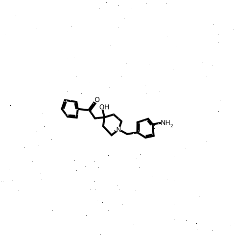 Nc1ccc(CN2CCC(O)(CC(=O)c3ccccc3)CC2)cc1